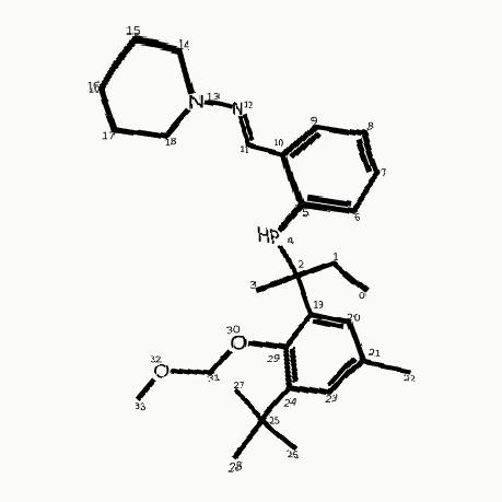 CCC(C)(Pc1ccccc1/C=N/N1CCCCC1)c1cc(C)cc(C(C)(C)C)c1OCOC